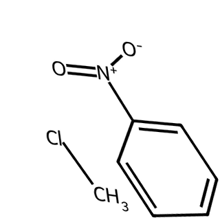 CCl.O=[N+]([O-])c1ccccc1